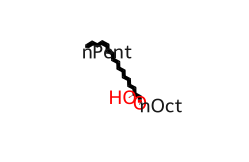 CCCCC/C=C\C/C=C\CCCCCCCCCC[C@@H](O)COCCCCCCCC